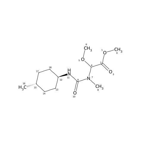 COC(=O)C(OC)N(C)C(=O)N[C@H]1CC[C@H](C)CC1